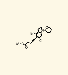 COC(=O)CCC#Cc1c(Cl)cc2c(cnn2C2CCCCO2)c1Br